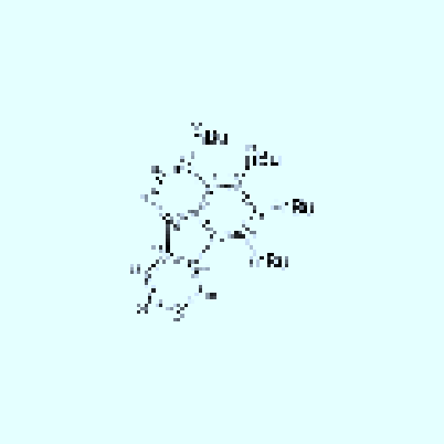 CCCCc1c(CCCC)c2c3c(ccc(CCCC)c3c1CCCC)-c1ccccc1-2